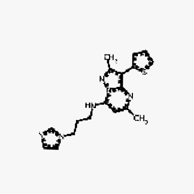 Cc1cc(NCCCn2ccnc2)n2nc(C)c(-c3cccs3)c2n1